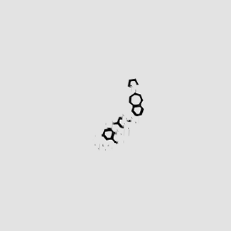 CNC(=O)c1cc(C(F)(F)F)ccc1Nc1nc(Nc2ccc3c(c2)CC[C@@H](N2CCCC2)CC3)ncc1Cl